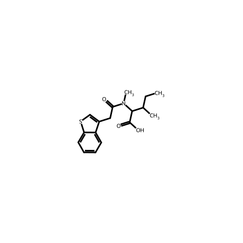 CCC(C)C(C(=O)O)N(C)C(=O)Cc1csc2ccccc12